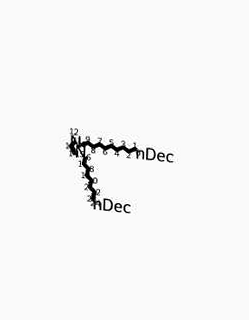 CCCCCCCCCCCCCCCCCCCC1N(C)C=CN1CCCCCCCCCCCCCCCCCC